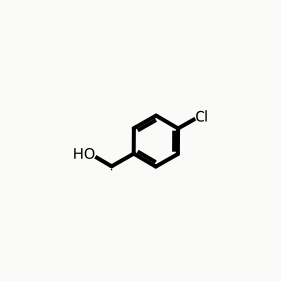 O[CH]c1ccc(Cl)cc1